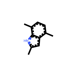 Cc1cc2c(C)ccc(C)c2[nH]1